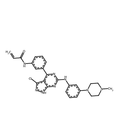 C=CC(=O)Nc1cccc(-c2nc(Nc3cccc(N4CCN(C)CC4)c3)nc3[nH]nc(Cl)c23)c1